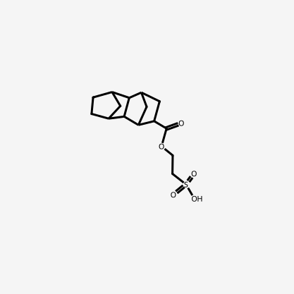 O=C(OCCS(=O)(=O)O)C1CC2CC1C1C3CCC(C3)C21